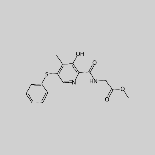 COC(=O)CNC(=O)c1ncc(Sc2ccccc2)c(C)c1O